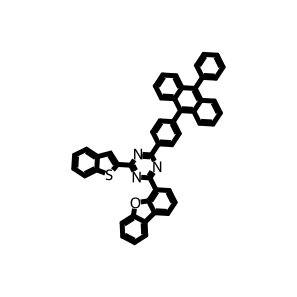 c1ccc(-c2c3ccccc3c(-c3ccc(-c4nc(-c5cc6ccccc6s5)nc(-c5cccc6c5oc5ccccc56)n4)cc3)c3ccccc23)cc1